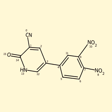 N#Cc1cc(-c2ccc([N+](=O)[O-])c([N+](=O)[O-])c2)c[nH]c1=O